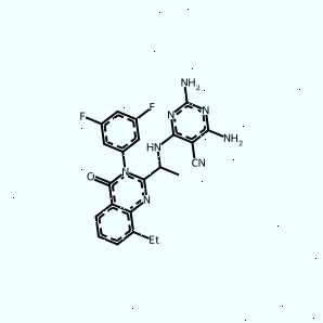 CCc1cccc2c(=O)n(-c3cc(F)cc(F)c3)c(C(C)Nc3nc(N)nc(N)c3C#N)nc12